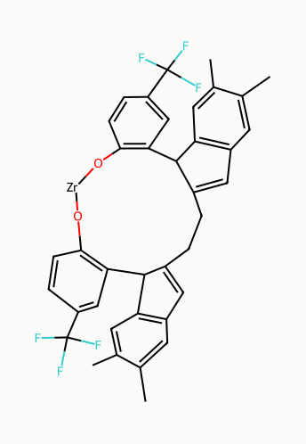 Cc1cc2c(cc1C)C1C(=C2)CCC2=Cc3cc(C)c(C)cc3C2c2cc(C(F)(F)F)ccc2[O][Zr][O]c2ccc(C(F)(F)F)cc21